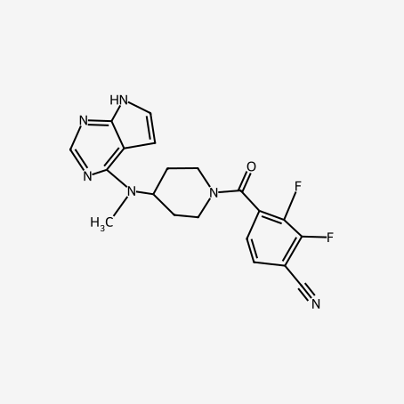 CN(c1ncnc2[nH]ccc12)C1CCN(C(=O)c2ccc(C#N)c(F)c2F)CC1